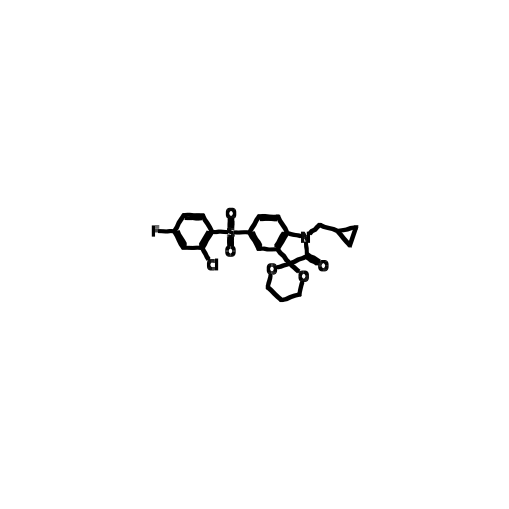 O=C1N(CC2CC2)c2ccc(S(=O)(=O)c3ccc(F)cc3Cl)cc2C12OCCCO2